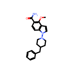 COc1c(C(N)=O)ccc2c1ccn2N1CCC(Cc2ccccc2)CC1